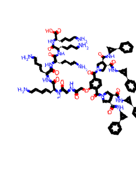 NCCCCC[C@H](NC(=O)CNC(=O)COc1cc(C(=O)N2C[C@@H](C(=O)N[C@H]3C[C@@H]3c3ccccc3)[C@H](C(=O)N[C@H]3C[C@@H]3c3ccccc3)C2)ccc1C(=O)N1C[C@@H](C(=O)N[C@H]2C[C@@H]2c2ccccc2)[C@H](C(=O)N[C@H]2C[C@@H]2c2ccccc2)C1)C(=O)N[C@@H](CCCCN)C(=O)N[C@@H](CCCCN)C(=O)N[C@@H](CCCCN)C(=O)N[C@@H](CCCCN)C(=O)O